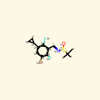 CC(C)(C)[S+]([O-])/N=C/c1c(F)c(Br)cc(C2CC2)c1F